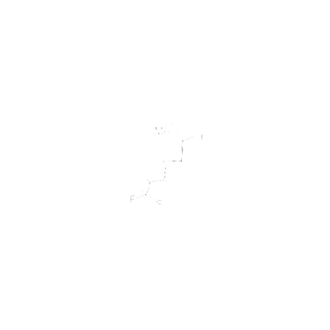 CCC(COCCC(F)F)OC